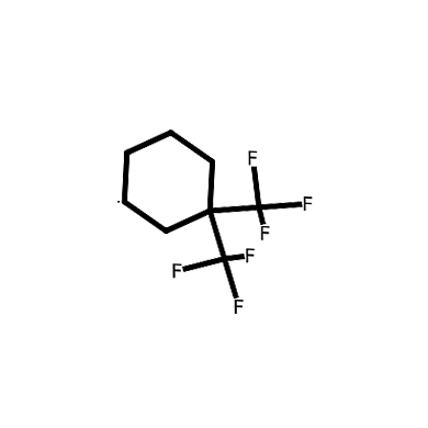 FC(F)(F)C1(C(F)(F)F)C[CH]CCC1